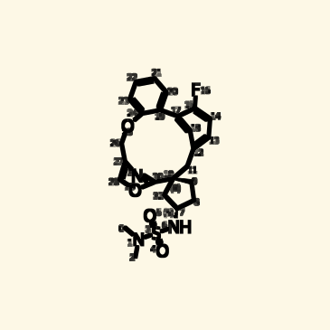 CN(C)S(=O)(=O)N[C@H]1CC[C@@]2(Cc3ccc(F)c(c3)-c3ccccc3OCc3coc2n3)C1